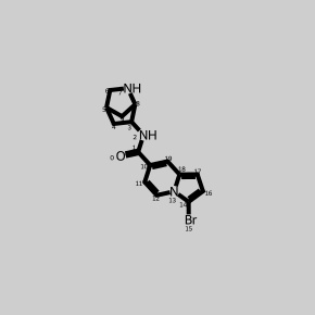 O=C(NC1CC2CNC1C2)c1ccn2c(Br)ccc2c1